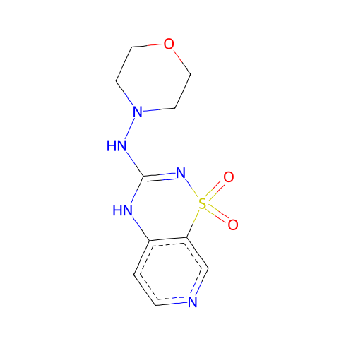 O=S1(=O)N=C(NN2CCOCC2)Nc2ccncc21